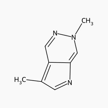 Cc1cnc2cn(C)ncc1-2